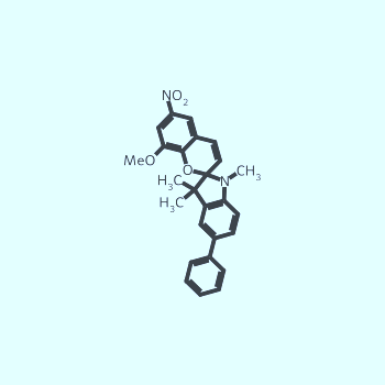 COc1cc([N+](=O)[O-])cc2c1OC1(C=C2)N(C)c2ccc(-c3ccccc3)cc2C1(C)C